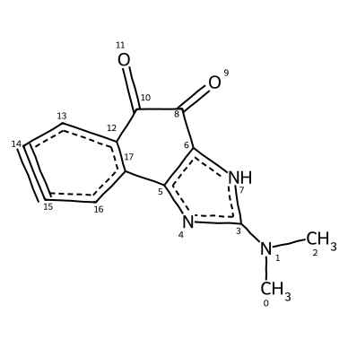 CN(C)c1nc2c([nH]1)C(=O)C(=O)c1cc#ccc1-2